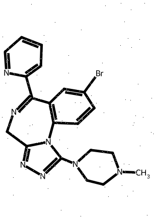 CN1CCN(c2nnc3n2-c2ccc(Br)cc2C(c2ccccn2)=NC3)CC1